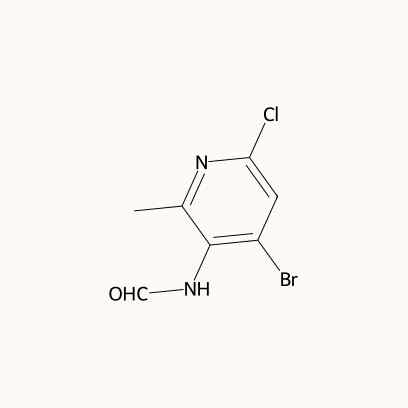 Cc1nc(Cl)cc(Br)c1NC=O